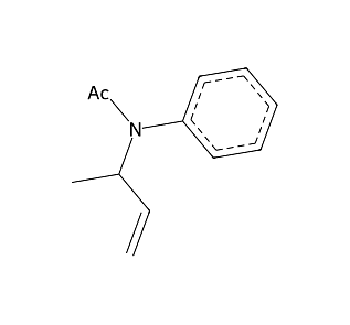 C=CC(C)N(C(C)=O)c1ccccc1